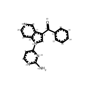 Nc1nccc(-n2cc(C(=O)c3ccccc3)c3cnccc32)n1